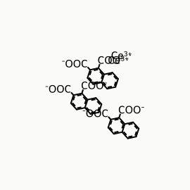 O=C([O-])c1ccc2ccccc2c1C(=O)[O-].O=C([O-])c1ccc2ccccc2c1C(=O)[O-].O=C([O-])c1ccc2ccccc2c1C(=O)[O-].[Ce+3].[Ce+3]